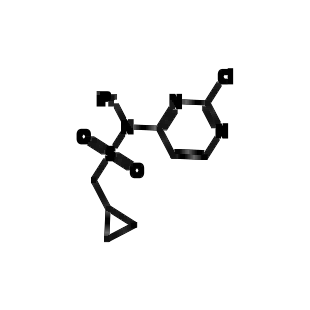 CC(C)N(c1ccnc(Cl)n1)S(=O)(=O)CC1CC1